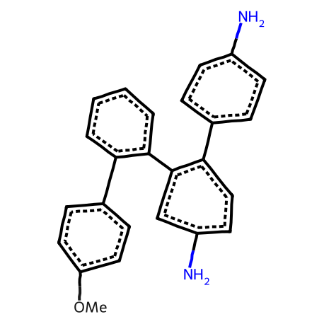 COc1ccc(-c2ccccc2-c2cc(N)ccc2-c2ccc(N)cc2)cc1